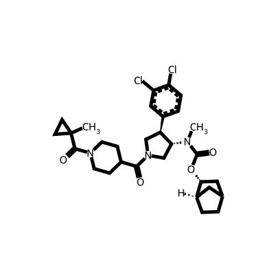 CN(C(=O)O[C@@H]1CC2CC[C@@H]1C2)[C@@H]1CN(C(=O)C2CCN(C(=O)C3(C)CC3)CC2)C[C@H]1c1ccc(Cl)c(Cl)c1